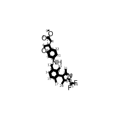 COC(=O)C[C@@H]1COc2cc(NCc3ccc(C)c(C4C(C)=NN(C(F)F)C4C)c3C)ccc21